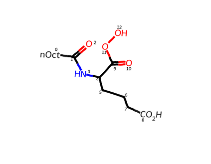 CCCCCCCCC(=O)NC(CCCC(=O)O)C(=O)OO